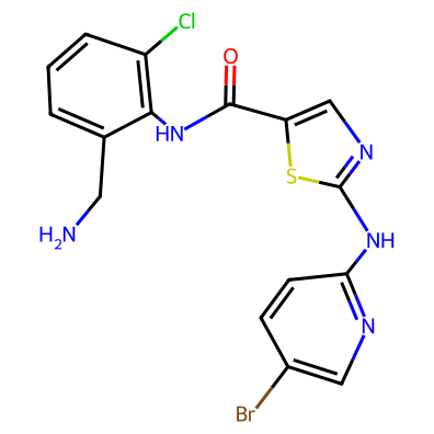 NCc1cccc(Cl)c1NC(=O)c1cnc(Nc2ccc(Br)cn2)s1